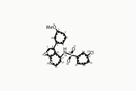 COc1cccc(-c2csc3nccc(NS(=O)(=O)c4cccc(Cl)c4)c23)c1